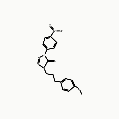 COc1ccc(CCCn2nnn(-c3ccc([N+](=O)[O-])cc3)c2=O)cc1